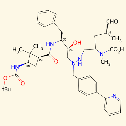 C[C@H](C=O)CC(CNN(Cc1ccc(-c2ccccn2)cc1)C[C@H](O)[C@H](Cc1ccccc1)NC(=O)[C@H]1C[C@@H](NC(=O)OC(C)(C)C)C1(C)C)N(C)C(=O)O